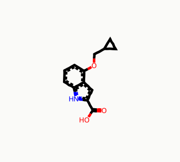 O=C(O)c1cc2c(OCC3CC3)cccc2[nH]1